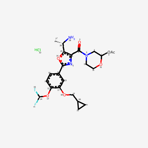 CC(=O)OC1CN(C(=O)c2nc(-c3ccc(OC(F)F)c(OCC4CC4)c3)oc2[C@H](C)N)CCO1.Cl